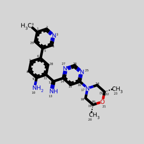 Cc1cncc(-c2ccc(N)c(C(=N)c3cc(N4C[C@@H](C)O[C@@H](C)C4)ncn3)c2)c1